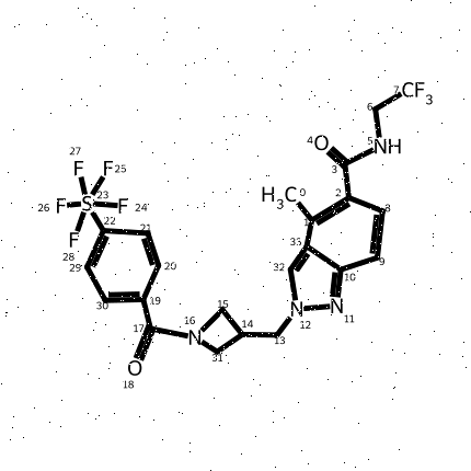 Cc1c(C(=O)NCC(F)(F)F)ccc2nn(CC3CN(C(=O)c4ccc(S(F)(F)(F)(F)F)cc4)C3)cc12